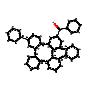 O=C(c1ccccc1)c1cc2c3ccc(-c4ccccc4)cc3c3ccccc3c3cccc4c5ccccc5c(c1)c2c34